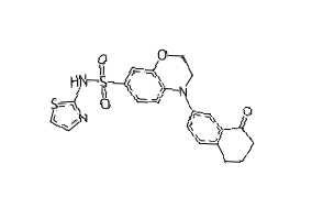 O=C1CCCc2ccc(N3CCOc4cc(S(=O)(=O)Nc5nccs5)ccc43)cc21